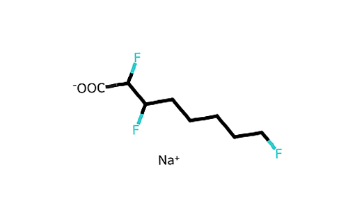 O=C([O-])C(F)C(F)CCCCCF.[Na+]